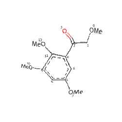 COCC(=O)c1cc(OC)cc(OC)c1OC